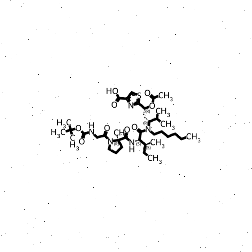 CCCCCCN(C(=O)[C@@H](NC(=O)[C@@]1(C)CCCN1C(=O)CNC(=O)OC(C)(C)C)[C@@H](C)CC)[C@H](C[C@@H](OC(C)=O)c1nc(C(=O)O)cs1)C(C)C